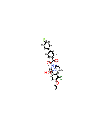 C=COc1ccc([C@](O)([C@@H](C)NC(=O)C(=O)c2ccc(-c3ccc(F)cc3)cc2)N2CCCC2)cc1Cl